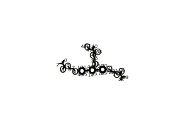 C=C(C)C(=O)OCCOc1ccc(-c2ccc(-c3ccc(OCCOC(=O)C(=C)C)cc3)c(OCCOC(=O)C(=C)COC)c2)cc1